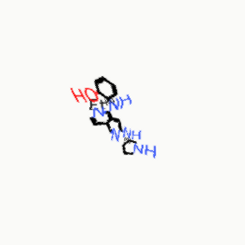 CC[C@]1(Nc2nccc3cnc(N[C@H]4CCCNC4)cc23)C=CC=CC1O